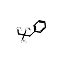 CCC(C)(C)[CH]c1ccccc1